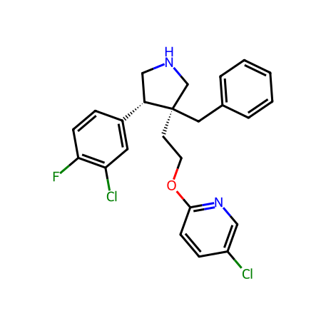 Fc1ccc([C@@H]2CNC[C@@]2(CCOc2ccc(Cl)cn2)Cc2ccccc2)cc1Cl